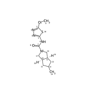 COc1nnc(NC(=O)N2C[C@H]3CC(C)C[C@H]3C2)s1